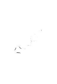 NCC1CCC(C(O)CCc2ccccc2)CC1